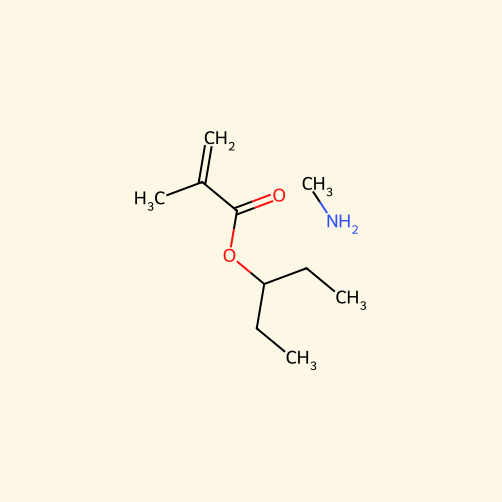 C=C(C)C(=O)OC(CC)CC.CN